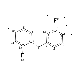 Fc1cccc([CH]c2ccccc2F)c1